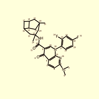 CN(C)c1ccc2c(=O)c(C(=O)NC3(C)CC4CC5CC(C)(CC54)C3)cn(-c3ccc(F)cc3F)c2n1